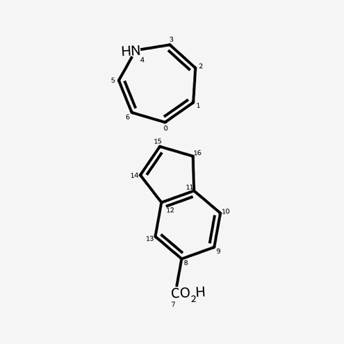 C1=CC=CNC=C1.O=C(O)c1ccc2c(c1)C=CC2